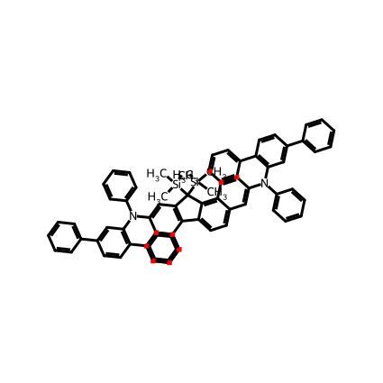 C[Si](C)(C)C1([Si](C)(C)C)c2cc(N(c3ccccc3)c3cc(-c4ccccc4)ccc3-c3ccccc3)c3ccccc3c2-c2ccc3cc(N(c4ccccc4)c4cc(-c5ccccc5)ccc4-c4ccccc4)ccc3c21